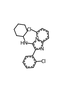 Clc1ccccc1-c1nc2cccc(Cl)n2c1NC1CCCCC1